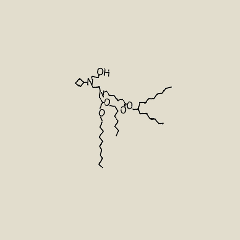 CCCCCCCCCCCCOCC(CN(CCCCCC(=O)OCC(CCCCCC)CCCCCCCC)CCN(CCO)C1CCC1)OCCCCCCCC